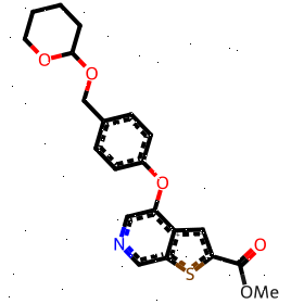 COC(=O)c1cc2c(Oc3ccc(COC4CCCCO4)cc3)cncc2s1